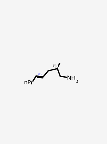 CCC/C=C/C[C@@H](C)CN